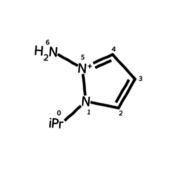 CC(C)n1ccc[n+]1N